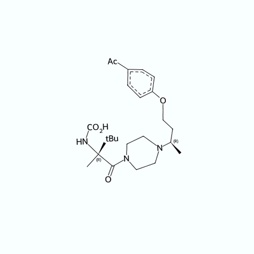 CC(=O)c1ccc(OCC[C@@H](C)N2CCN(C(=O)[C@](C)(NC(=O)O)C(C)(C)C)CC2)cc1